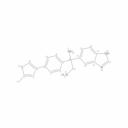 Cc1cc(-c2ccc(C(N)(CN)c3ccc4[nH]cnc4c3)cc2)cs1